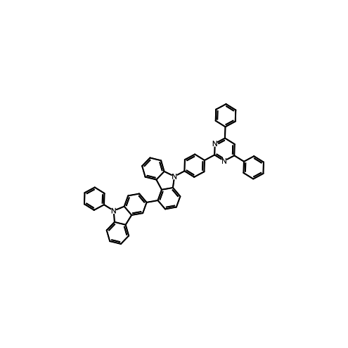 c1ccc(-c2cc(-c3ccccc3)nc(-c3ccc(-n4c5ccccc5c5c(-c6ccc7c(c6)c6ccccc6n7-c6ccccc6)cccc54)cc3)n2)cc1